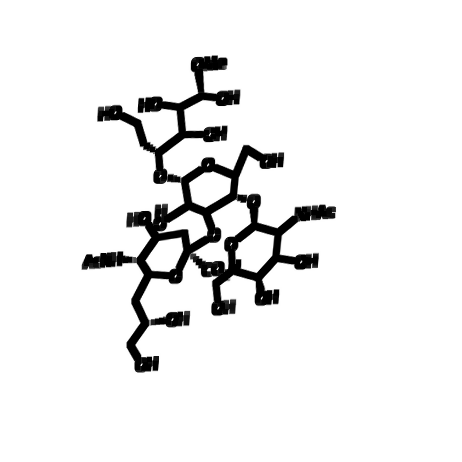 CO[C@@H](O)C(O)C(O)[C@@H](CCO)O[C@@H]1OC(CO)[C@H](O[C@@H]2OC(CO)[C@H](O)C(O)C2NC(C)=O)C(O[C@]2(C(=O)O)CC(O)[C@@H](NC(C)=O)C(C[C@H](O)CO)O2)C1O